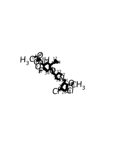 CCS(=O)(=O)NC(=O)c1cc(C2CC2)c(OCC2CCN(Cc3cc(Cl)cc(Cl)c3OC)CC2)cc1F